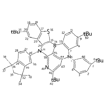 CC(C)(C)c1cccc(N2c3cc(C(C)(C)C)ccc3B3c4sc5ccc(C(C)(C)C)cc5c4N(c4ccc5c(c4)C(C)(C)CC5(C)C)c4nc(C(C)(C)C)cc2c43)c1